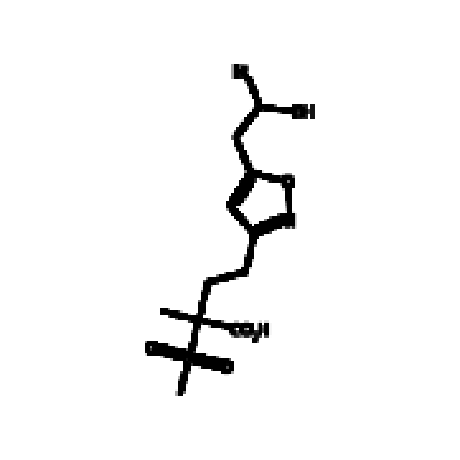 CCC(O)Cc1cc(CCC(C)(C(=O)O)S(C)(=O)=O)no1